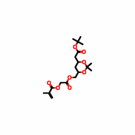 C=C(C)C(=O)OCC(=O)OCC1CC(CC(=O)OC(C)(C)C)OC(C)(C)O1